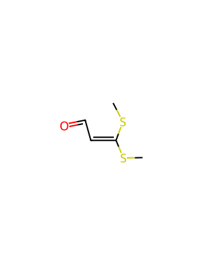 CSC(=CC=O)SC